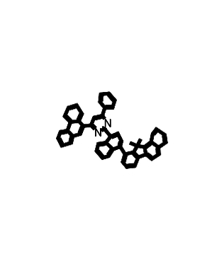 CC1(C)c2c(cccc2-c2ccc(-c3nc(-c4ccccc4)cc(-c4cc5ccccc5c5ccccc45)n3)c3ccccc23)-c2ccc3ccccc3c21